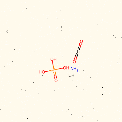 N.O=P(O)(O)O.[LiH].[O]=[Ti]=[O]